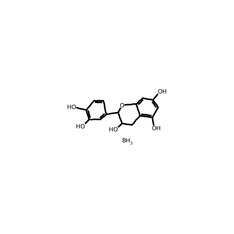 B.Oc1cc(O)c2c(c1)OC(c1ccc(O)c(O)c1)C(O)C2